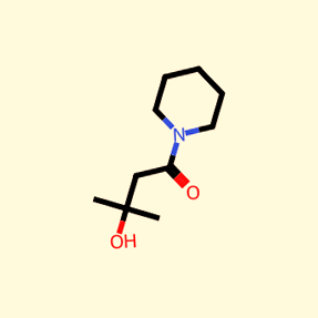 CC(C)(O)CC(=O)N1CCCCC1